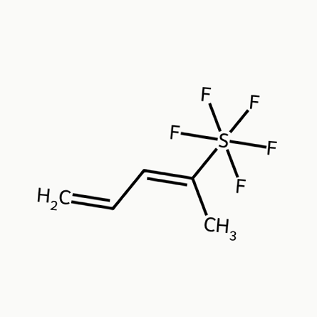 C=C/C=C(\C)S(F)(F)(F)(F)F